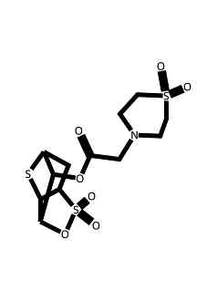 O=C(CN1CCS(=O)(=O)CC1)OC1C2CC3C(S2)C1OS3(=O)=O